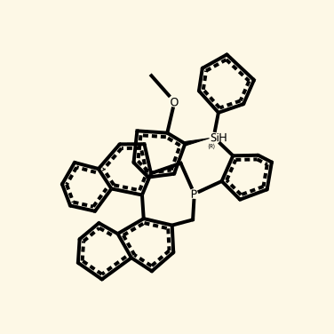 COc1ccccc1[Si@@H](c1ccccc1)c1ccccc1P1Cc2ccc3ccccc3c2-c2c(ccc3ccccc23)C1